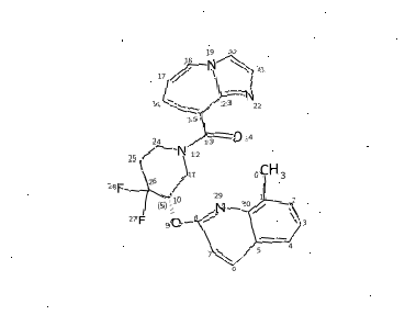 Cc1cccc2ccc(O[C@H]3CN(C(=O)c4cccn5ccnc45)CCC3(F)F)nc12